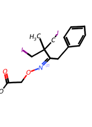 COC(=O)CO/N=C(/Cc1ccccc1)C(C)(CI)CI